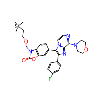 C[Si](C)(C)CCOCn1c(=O)oc2cc(-c3c(-c4ccc(F)cc4)nc4c(N5CCOCC5)nccn34)ccc21